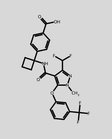 Cn1nc(C(F)F)c(C(=O)NC2(c3ccc(C(=O)O)cc3)CCC2)c1Oc1cccc(C(F)(F)F)c1